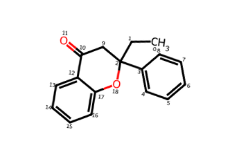 CCC1(c2ccccc2)CC(=O)c2ccccc2O1